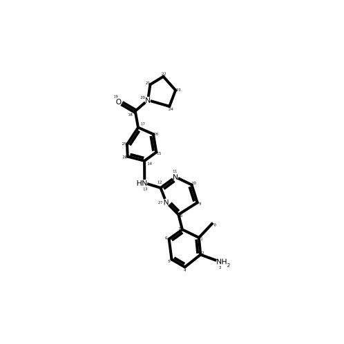 Cc1c(N)cccc1-c1ccnc(Nc2ccc(C(=O)N3CCCC3)cc2)n1